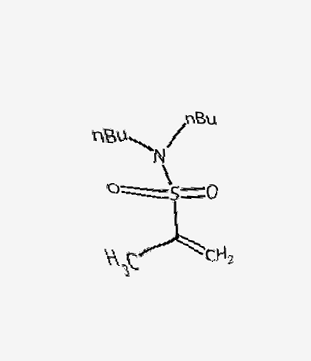 C=C(C)S(=O)(=O)N(CCCC)CCCC